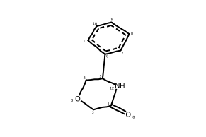 O=C1COCC(c2ccccc2)N1